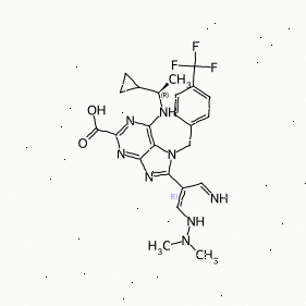 C[C@@H](Nc1nc(C(=O)O)nc2nc(/C(C=N)=C/NN(C)C)n(Cc3ccc(C(F)(F)F)cc3)c12)C1CC1